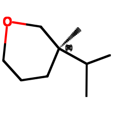 CC(C)[C@@]1(C)CCCOC1